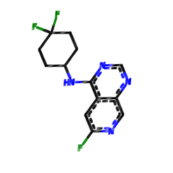 Fc1cc2c(NC3CCC(F)(F)CC3)ncnc2cn1